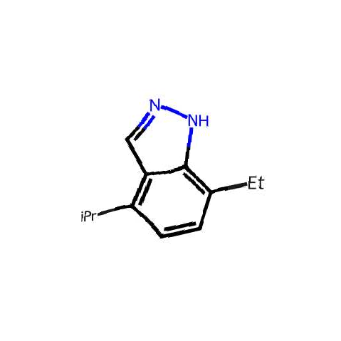 CCc1ccc(C(C)C)c2cn[nH]c12